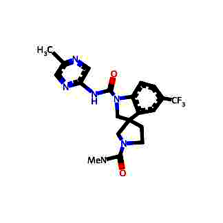 CNC(=O)N1CCC2(C1)CN(C(=O)Nc1cnc(C)cn1)c1ccc(C(F)(F)F)cc12